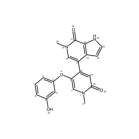 Cn1cc(Oc2cccc(O)c2)c(-c2cn(C)c(=O)c3[nH]ccc23)cc1=O